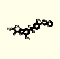 CCC(CC)(c1ccc(OCC2(C(C)(C)C)OCCO2)c(C)c1)c1cc(C)c2oc(C(=O)N(C)C)cc2c1